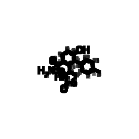 Cc1ccc(-c2c(O)ccc(S(N)(=O)=O)c2C2CSC(=O)N2)cc1